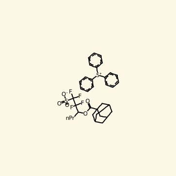 CCCC(OC(=O)C12CC3CC(CC(C3)C1)C2)C(F)(F)C(F)(F)S(=O)(=O)[O-].c1ccc([S+](c2ccccc2)c2ccccc2)cc1